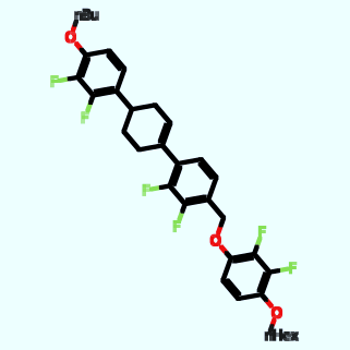 CCCCCCOc1ccc(OCc2ccc(C3=CCC(c4ccc(OCCCC)c(F)c4F)CC3)c(F)c2F)c(F)c1F